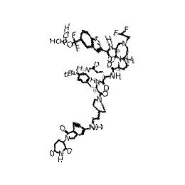 CC(C)(C)c1ccc(C[C@H](NC(=O)[C@H](CCC(N)=O)NC(=O)[C@@H]2CC[C@@H]3CCN(CC(F)F)C[C@H](NC(=O)c4cc5cc(C(F)(F)OP(O)O)ccc5s4)C(=O)N32)C(=O)N2CCC(CCNc3ccc4c(c3)CN(C3CCC(=O)NC3=O)C4=O)CC2)cc1